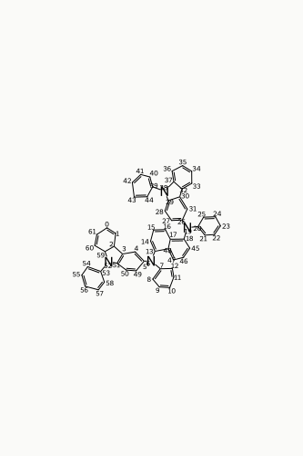 C1=CC2c3cc(N(c4ccccc4)c4cccc5c(N(c6ccccc6)c6ccc7c(c6)c6ccccc6n7-c6ccccc6)cccc45)ccc3N(c3ccccc3)C2C=C1